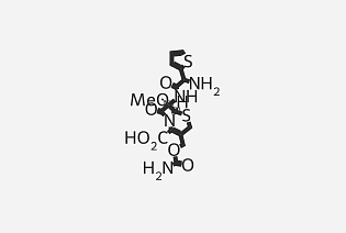 CO[C@@]1(NC(=O)C(N)c2cccs2)C(=O)N2C(C(=O)O)=C(COC(N)=O)CS[C@@H]21